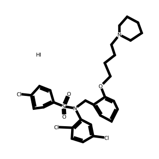 I.O=S(=O)(c1ccc(Cl)cc1)N(Cc1ccccc1OCCCCN1CCCCC1)c1cc(Cl)ccc1Cl